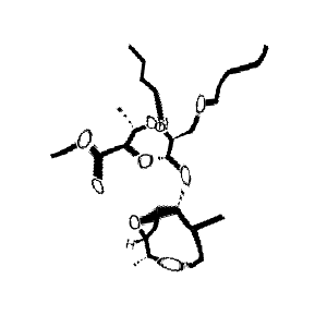 CCCCOC[C@H](OCCCC)[C@@H](OC(C(=O)OC)[C@H](C)O)O[C@@H]1C(C)CO[C@H](C)[C@@H]2OC12